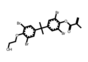 C=C(C)C(=O)Oc1c(Br)cc(C(C)(C)c2cc(Br)c(OCCO)c(Br)c2)cc1Br